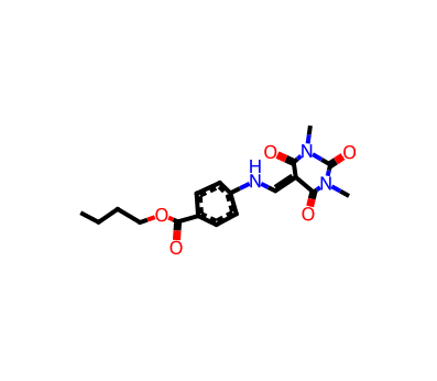 CCCCOC(=O)c1ccc(NC=C2C(=O)N(C)C(=O)N(C)C2=O)cc1